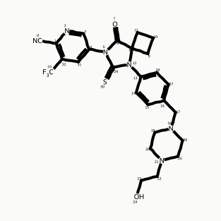 N#Cc1ncc(N2C(=O)C3(CCC3)N(c3ccc(CN4CCN(CCO)CC4)cc3)C2=S)cc1C(F)(F)F